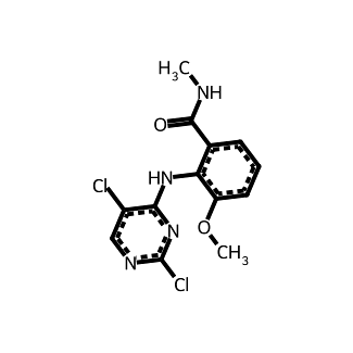 CNC(=O)c1cccc(OC)c1Nc1nc(Cl)ncc1Cl